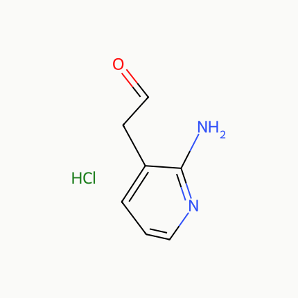 Cl.Nc1ncccc1CC=O